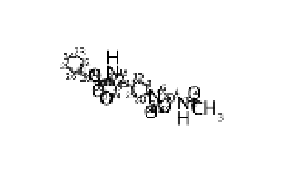 CC(=O)NC[C@H]1CN(c2ccc(C3=C(C=O)[C@@H](C(=O)OCc4ccccc4)NC3)cc2)C(=O)O1